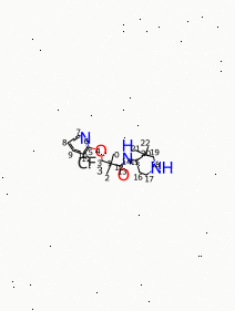 CC(C)(COc1ncccc1C(F)(F)F)C(=O)NC1CCNCC1(C)C